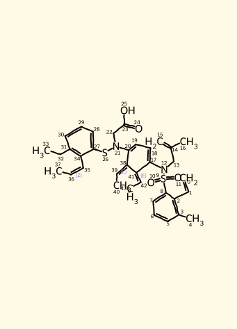 C=Cc1c(C)cccc1S(=O)(=O)N(CC(=C)C)c1ccc(N(CC(=O)O)Sc2cccc(CC)c2/C=C\C)c(=C/C)/c1=C\C